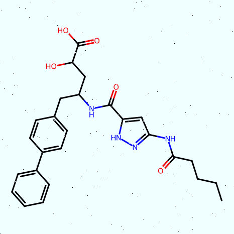 CCCCC(=O)Nc1cc(C(=O)NC(Cc2ccc(-c3ccccc3)cc2)CC(O)C(=O)O)[nH]n1